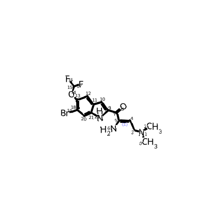 CN(C)C/C=C(\N)C(=O)c1cc2cc(OC(F)F)c(Br)cc2[nH]1